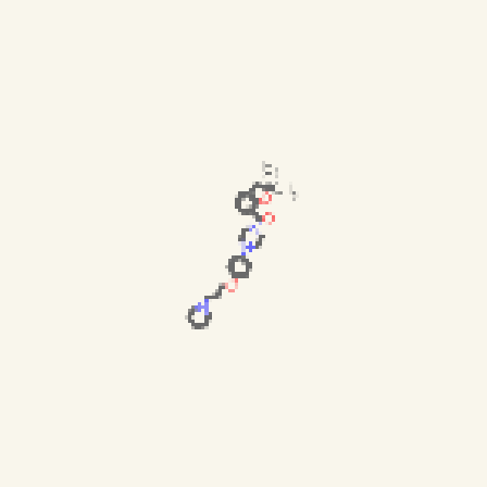 CC1(C)Cc2cccc(C(=O)N3CCN(c4ccc(OCCCN5CCCCC5)cc4)CC3)c2O1